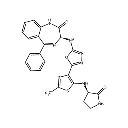 O=C1Nc2ccccc2C(c2ccccc2)=N[C@@H]1Nc1nnc(-c2nc(C(F)(F)F)sc2N[C@@H]2CCNC2=O)o1